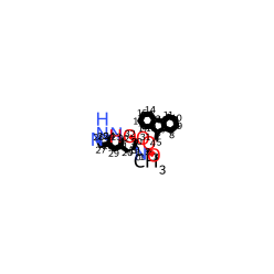 CN(C(=O)OCC1c2ccccc2-c2ccccc21)[C@@H](Cc1cnc2[nH]ncc2c1)C(=O)O